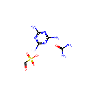 NC(N)=O.Nc1nc(N)nc(N)n1.O=CS(=O)(=O)O